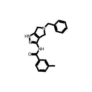 Cc1cccc(C(=O)Nc2n[nH]c3c2CN(Cc2ccccc2)C3)c1